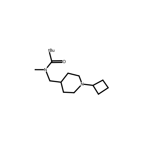 CN(CC1CCN(C2CCC2)CC1)C(=O)C(C)(C)C